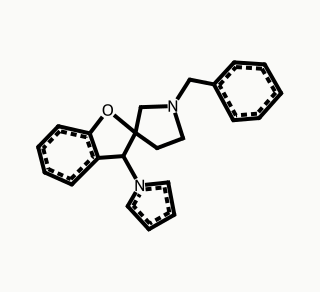 c1ccc(CN2CCC3(C2)Oc2ccccc2C3n2cccc2)cc1